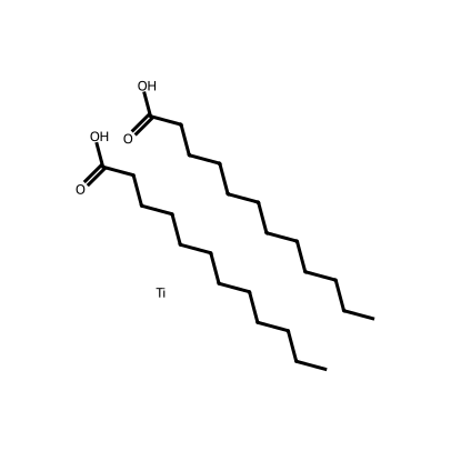 CCCCCCCCCCCC(=O)O.CCCCCCCCCCCC(=O)O.[Ti]